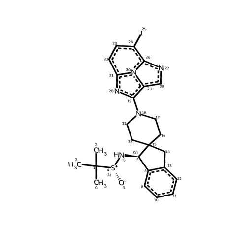 CC(C)(C)[S@@+]([O-])N[C@@H]1c2ccccc2CC12CCN(c1nc3ccc(I)c4ncc1n34)CC2